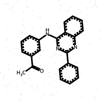 CC(=O)c1cccc(Nc2nc(-c3ccccc3)nc3ccccc23)c1